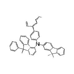 C=C/C(=C\C=C/C)c1ccc(N(c2ccc3c(c2)C(C)(C)c2ccccc2-3)c2cccc3c2-c2ccccc2C3(C)c2ccccc2)cc1